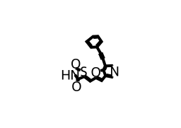 O=C1NC(=O)C(=Cc2cc3cncc(C#Cc4ccccc4)c3o2)S1